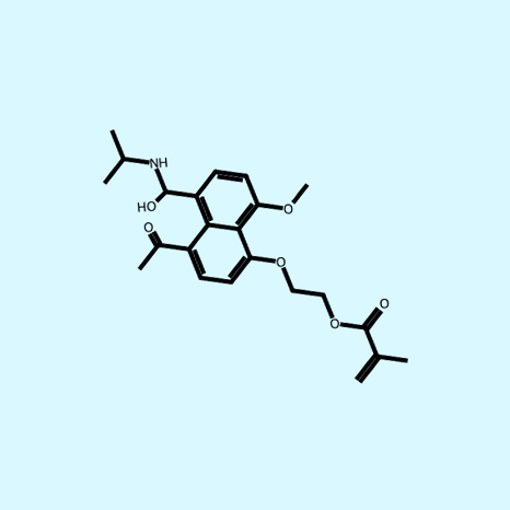 C=C(C)C(=O)OCCOc1ccc(C(C)=O)c2c(C(O)NC(C)C)ccc(OC)c12